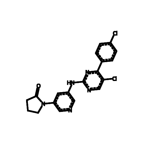 O=C1CCCN1c1cncc(Nc2ncc(Cl)c(-c3ccc(Cl)cc3)n2)c1